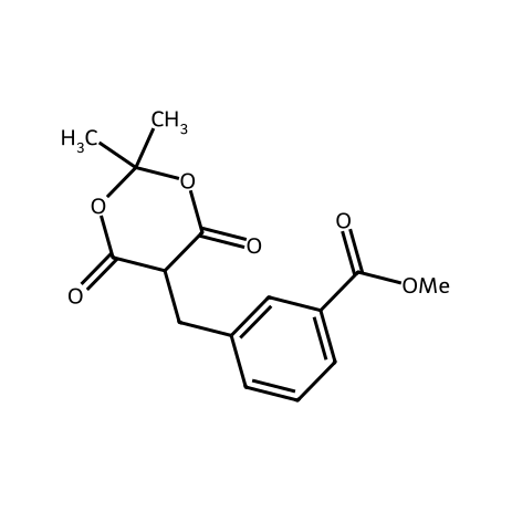 COC(=O)c1cccc(CC2C(=O)OC(C)(C)OC2=O)c1